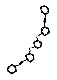 C(#Cc1cccc(Oc2cccc(Oc3cccc(C#Cc4ccccc4)c3)c2)c1)c1ccccc1